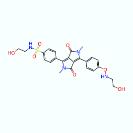 CN1C(=O)C2=C(c3ccc(S(=O)(=O)NCCO)cc3)N(C)C(=O)C2=C1c1ccc(ONCCO)cc1